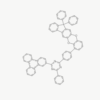 c1ccc(-c2nc(-c3ccc(-c4cccc5c4Oc4cc6c(cc4O5)C(c4ccccc4)(c4ccccc4)c4ccccc4-6)cc3)nc(-c3ccc4c5ccccc5c5ccccc5c4c3)n2)cc1